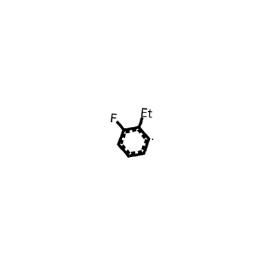 CCc1[c]cccc1F